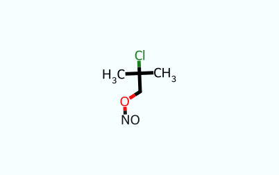 CC(C)(Cl)CON=O